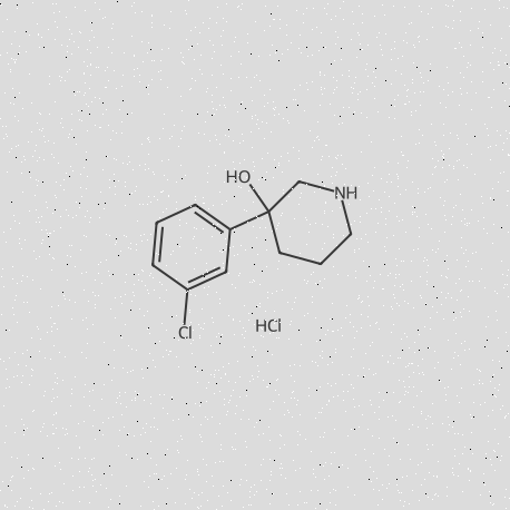 Cl.OC1(c2cccc(Cl)c2)CCCNC1